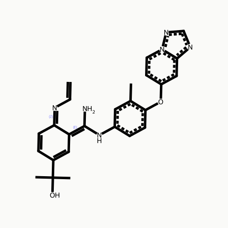 C=C/N=C1/C=CC(C(C)(C)O)=C/C1=C(/N)Nc1ccc(Oc2ccn3ncnc3c2)c(C)c1